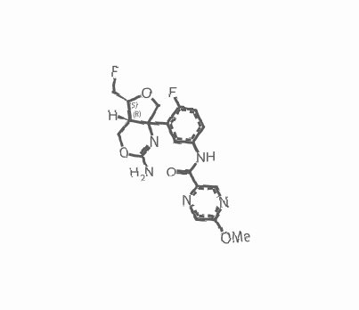 COc1cnc(C(=O)Nc2ccc(F)c(C34CO[C@H](CF)[C@H]3COC(N)=N4)c2)cn1